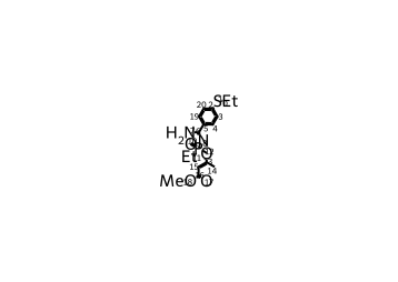 CCSc1ccc(C(N)=NP(=O)(CC)OC(C)=CC(=O)OC)cc1